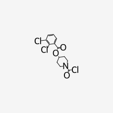 O=C(OC1CCN(C(=O)Cl)CC1)c1cccc(Cl)c1Cl